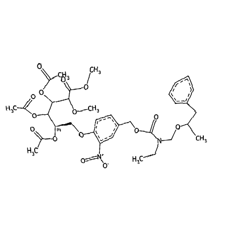 CCN(COC(C)Cc1ccccc1)C(=O)OCc1ccc(OC[C@@H](OC(C)=O)C(OC(C)=O)C(OC(C)=O)C(OC)C(=O)OC)c([N+](=O)[O-])c1